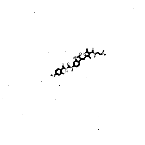 COc1ccc(C(=O)NC(=O)Nc2ccc3c(c2)NC(=O)C3=Cc2[nH]c(C)c(C(=O)NCCN(C)C)c2C)c(F)c1